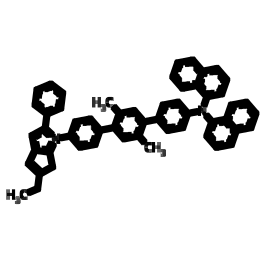 CCC1=Cc2cc(-c3ccccc3)n(-c3ccc(-c4cc(C)c(-c5ccc(N(c6cccc7ccccc67)c6cccc7ccccc67)cc5)cc4C)cc3)c2C1